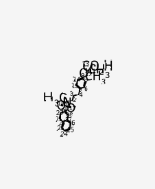 CN(CCCc1ccc(OC(C)(C)C(=O)O)cc1)S(=O)(=O)c1ccc2ccccc2c1